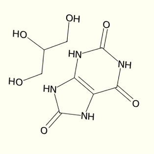 O=c1[nH]c(=O)c2[nH]c(=O)[nH]c2[nH]1.OCC(O)CO